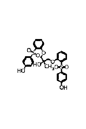 CC(O)(COc1ccccc1S(=O)(=O)c1ccc(O)cc1)COc1ccccc1S(=O)(=O)c1ccc(O)cc1